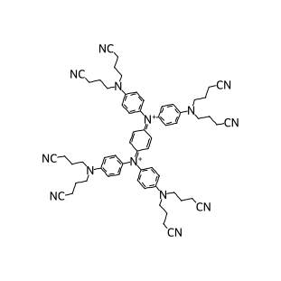 N#CCCCN(CCCC#N)c1ccc([N+](=C2C=CC(=[N+](c3ccc(N(CCCC#N)CCCC#N)cc3)c3ccc(N(CCCC#N)CCCC#N)cc3)C=C2)c2ccc(N(CCCC#N)CCCC#N)cc2)cc1